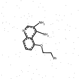 CC(C)CCOc1cccc2ncc(N)c(N)c12